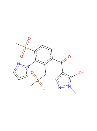 Cn1ncc(C(=O)c2ccc(S(C)(=O)=O)c(-n3cccn3)c2CS(C)(=O)=O)c1O